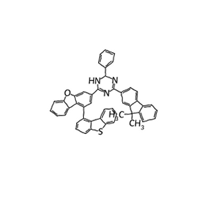 CC1(C)c2ccccc2-c2ccc(C3=NC(c4ccccc4)NC(c4cc(-c5cccc6sc7ccccc7c56)c5c(c4)oc4ccccc45)=N3)cc21